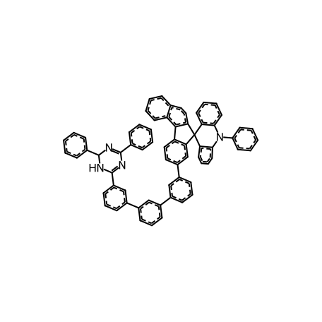 c1ccc(C2=NC(c3ccccc3)NC(c3cccc(-c4cccc(-c5cccc(-c6ccc7c(c6)C6(c8ccccc8N(c8ccccc8)c8ccccc86)c6ccc8ccccc8c6-7)c5)c4)c3)=N2)cc1